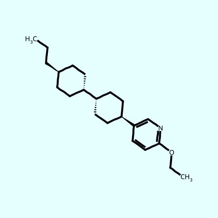 CCC[C@H]1CC[C@H]([C@H]2CC[C@H](c3ccc(OCC)nc3)CC2)CC1